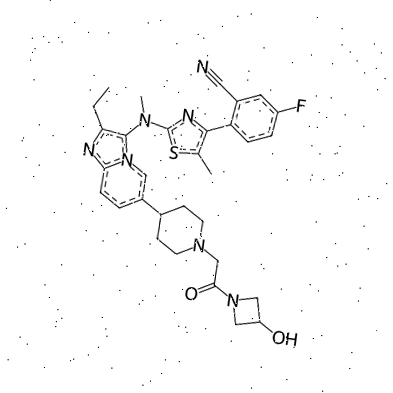 CCc1nc2ccc(C3CCN(CC(=O)N4CC(O)C4)CC3)cn2c1N(C)c1nc(-c2ccc(F)cc2C#N)c(C)s1